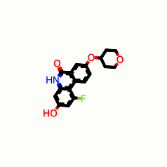 O=c1[nH]c2cc(O)cc(F)c2c2ccc(OC3CCOCC3)cc12